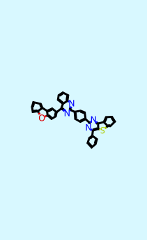 c1ccc(-c2nc(-c3ccc(-c4nc(-c5ccc6oc7ccccc7c6c5)c5ccccc5n4)cc3)nc3c2sc2ccccc23)cc1